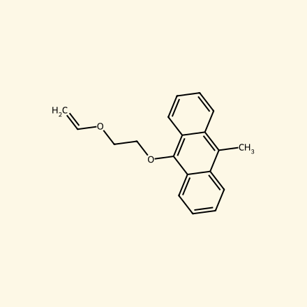 C=COCCOc1c2ccccc2c(C)c2ccccc12